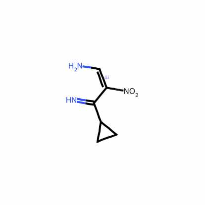 N=C(/C(=C\N)[N+](=O)[O-])C1CC1